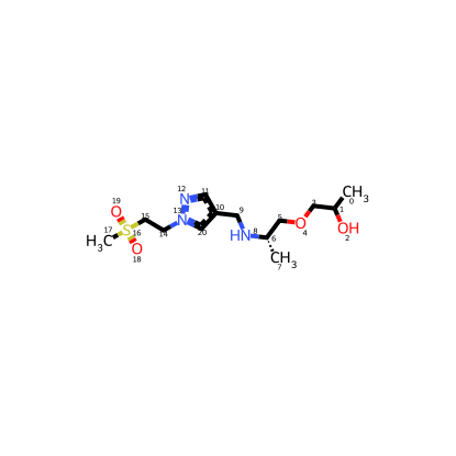 CC(O)COC[C@H](C)NCc1cnn(CCS(C)(=O)=O)c1